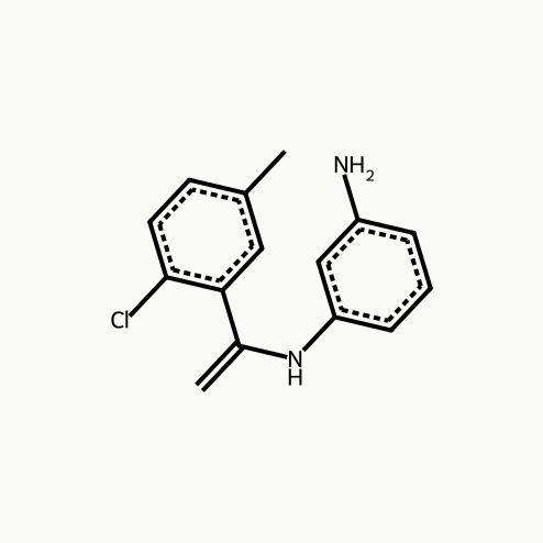 C=C(Nc1cccc(N)c1)c1cc(C)ccc1Cl